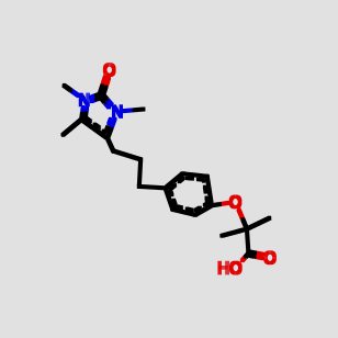 Cc1c(CCCc2ccc(OC(C)(C)C(=O)O)cc2)n(C)c(=O)n1C